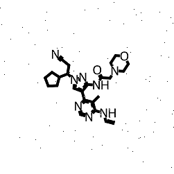 C=CNc1ncnc(-c2cn(C(CC#N)C3CCCC3)nc2NC(=O)CN2CCOCC2)c1C